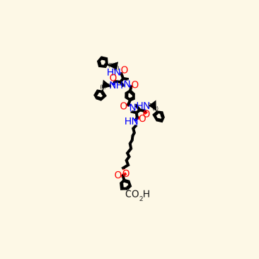 O=C(O)c1ccc(C(=O)OCCCCCCCCCCCCNC(=O)C2CN(C(=O)c3ccc(C(=O)N4CC(C(=O)N[C@@H]5C[C@@H]5c5ccccc5)C(C(=O)N[C@@H]5C[C@@H]5c5ccccc5)C4)cc3)CC2C(=O)N[C@@H]2C[C@@H]2c2ccccc2)cc1